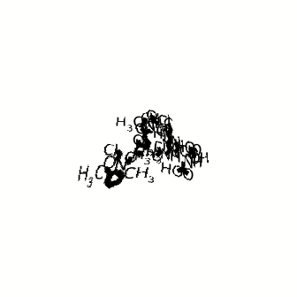 CC1(C)OC(c2ccco2)CN1C(=O)C(Cl)Cl.CCNc1nc(Cl)nc(NC(C)C)n1.CCOCN(C(=O)CCl)c1c(C)cccc1CC.O=C(O)CNCP(=O)(O)O